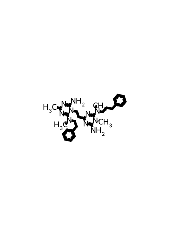 CC1N=C(N)N(CCC2N=C(N)N(C)C(N(C)CCCc3ccccc3)=N2)C(N(C)CCc2ccccc2)=N1